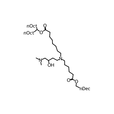 CCCCCCCCCCCOC(=O)CCCCCN(CCCCCCCC(=O)OC(CCCCCCCC)CCCCCCCC)CCC(O)CN(C)C